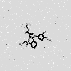 CCOC(=O)c1cc(-c2ccccc2S(=O)(=O)CC)n(-c2ccc(OC)c(Cl)c2)n1